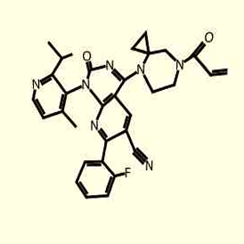 C=CC(=O)N1CCN(c2nc(=O)n(-c3c(C)ccnc3C(C)C)c3nc(-c4ccccc4F)c(C#N)cc23)C2(CC2)C1